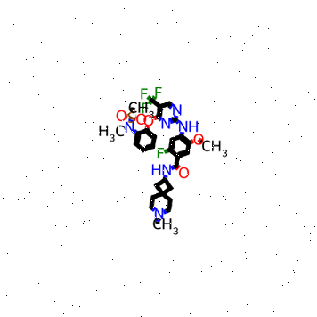 COc1cc(C(=O)NC2CC3(CCN(C)CC3)C2)c(F)cc1Nc1ncc(C(F)(F)F)c(Oc2ccccc2N(C)S(C)(=O)=O)n1